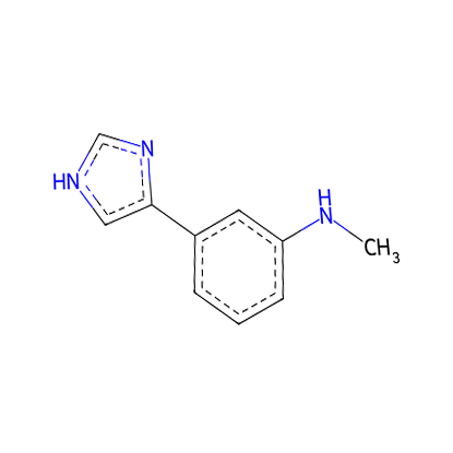 CNc1cccc(-c2c[nH]cn2)c1